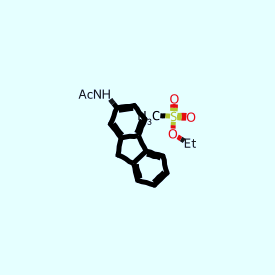 CC(=O)Nc1ccc2c(c1)Cc1ccccc1-2.CCOS(C)(=O)=O